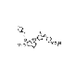 COc1cc2ncnc(Nc3ccc(OC4CCN(C(=O)O)CC4)c(Cl)c3)c2cc1OCCCN1CCOCC1